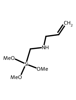 C=CCNC[Si](OC)(OC)OC